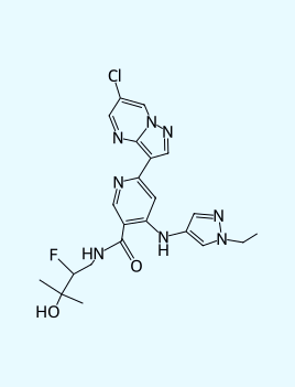 CCn1cc(Nc2cc(-c3cnn4cc(Cl)cnc34)ncc2C(=O)NCC(F)C(C)(C)O)cn1